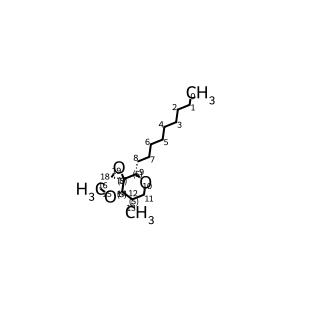 CCCCCCCCC[C@@H]1OC[C@H](C)[C@H](OC)[C@]12CO2